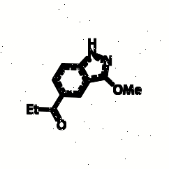 CCC(=O)c1ccc2[nH]nc(OC)c2c1